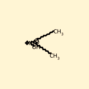 CCCCCCCCCCCCOCC(CN(CCO)C1CCC1)OC(=O)CCCCCCCCCCC